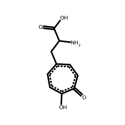 NC(Cc1ccc(O)c(=O)cc1)C(=O)O